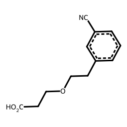 N#Cc1cccc(CCOCCC(=O)O)c1